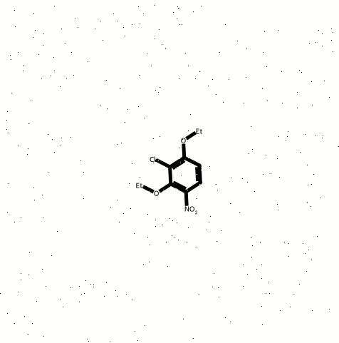 CCOc1ccc([N+](=O)[O-])c(OCC)c1Cl